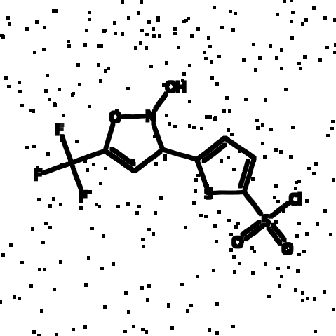 O=S(=O)(Cl)c1ccc(C2C=C(C(F)(F)F)ON2O)s1